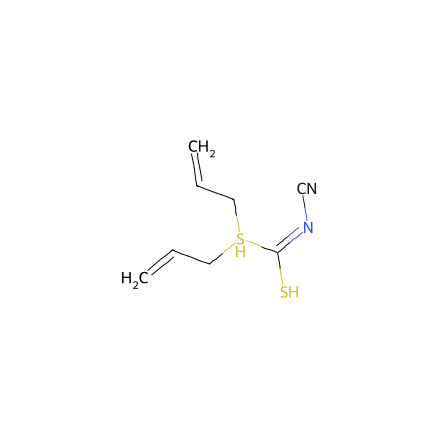 C=CC[SH](CC=C)C(S)=NC#N